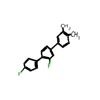 Cc1ccc(-c2ccc(-c3ccc(F)cc3)c(F)c2)cc1C